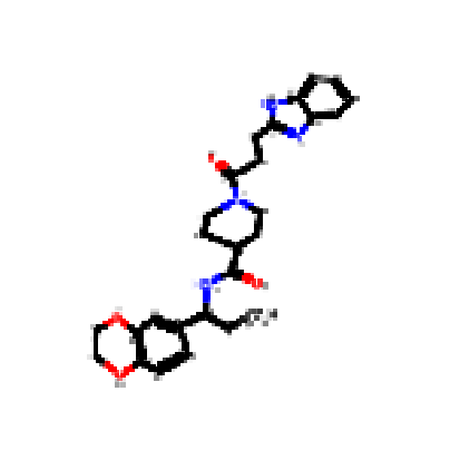 O=C(O)CC(NC(=O)C1CCN(C(=O)CCc2nc3ccccc3[nH]2)CC1)c1ccc2c(c1)OCCO2